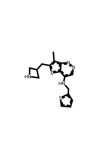 Cc1c(CC2CNC2)sc2c(NCc3cccs3)cnnc12